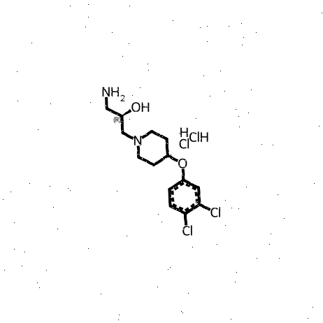 Cl.Cl.NC[C@@H](O)CN1CCC(Oc2ccc(Cl)c(Cl)c2)CC1